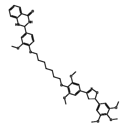 COc1cc(C2NC(=O)c3ccccc3N2)ccc1OCCCCCCCOc1c(OC)cc(C2=NOC(c3cc(OC)c(OC)c(OC)c3)C2)cc1OC